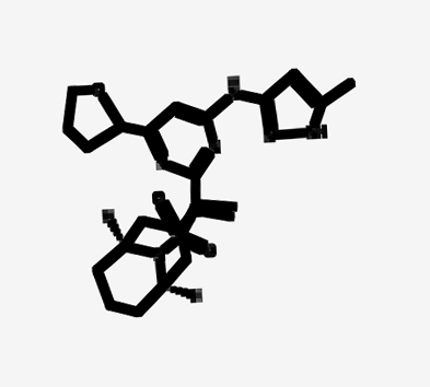 CCS(=O)(=O)N1[C@@H]2CCC[C@H]1CC(N(C)c1nc(Nc3cc(C)[nH]n3)cc(C3CCCO3)n1)C2